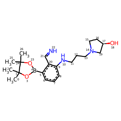 CC1(C)OB(c2cccc(NCCCN3CC[C@@H](O)C3)c2C=N)OC1(C)C